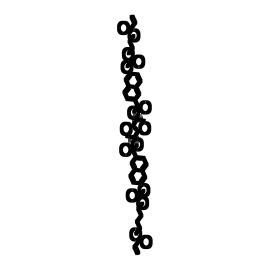 C=CC(=O)OCCCCOC(=O)Oc1ccc2cc(C(=O)O[C@@H]3COC4C3OC[C@H]4OC(=O)c3ccc4cc(OC(=O)OCCOC(=O)C=C)ccc4c3)ccc2c1